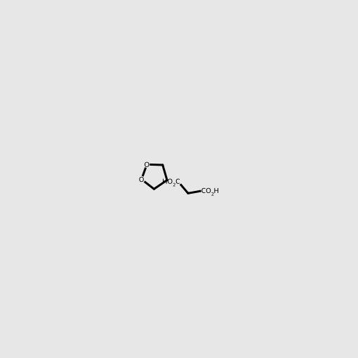 C1COOC1.O=C(O)CC(=O)O